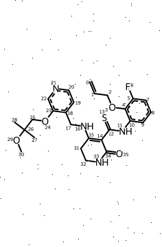 C=CCOc1c(F)cccc1NC(=S)C1=C(NCc2ccncc2OCC(C)(C)OC)CCNC1=O